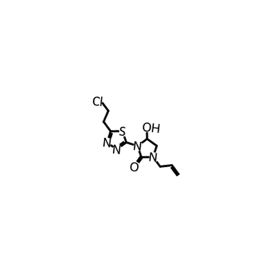 C=CCN1CC(O)N(c2nnc(CCCl)s2)C1=O